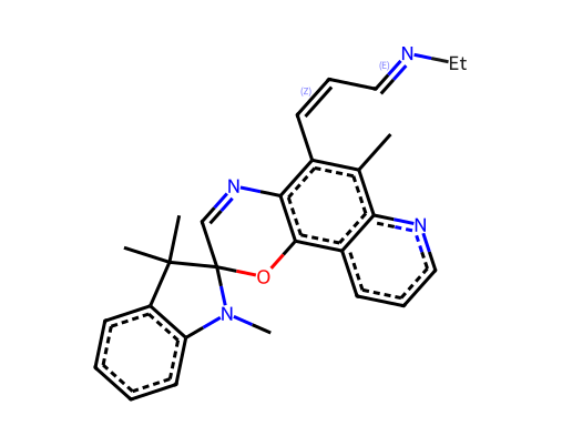 CC/N=C/C=C\c1c2c(c3cccnc3c1C)OC1(C=N2)N(C)c2ccccc2C1(C)C